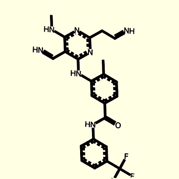 CNc1nc(CC=N)nc(Nc2cc(C(=O)Nc3cccc(C(F)(F)F)c3)ccc2C)c1C=N